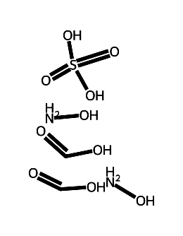 NO.NO.O=CO.O=CO.O=S(=O)(O)O